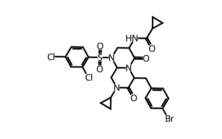 O=C(NC1CN(S(=O)(=O)c2ccc(Cl)cc2Cl)C2CN(C3CC3)C(=O)C(Cc3ccc(Br)cc3)N2C1=O)C1CC1